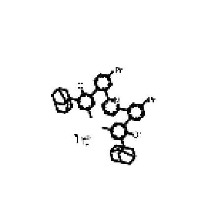 Cc1cc(-c2ccc(C(C)C)cc2-c2cccc(-c3cc(C(C)C)ccc3-c3cc(C)cc(C45CC6CC(CC(C6)C4)C5)c3[O-])n2)c([O-])c(C23CC4CC(CC(C4)C2)C3)c1.[CH3][Hf+2][CH3]